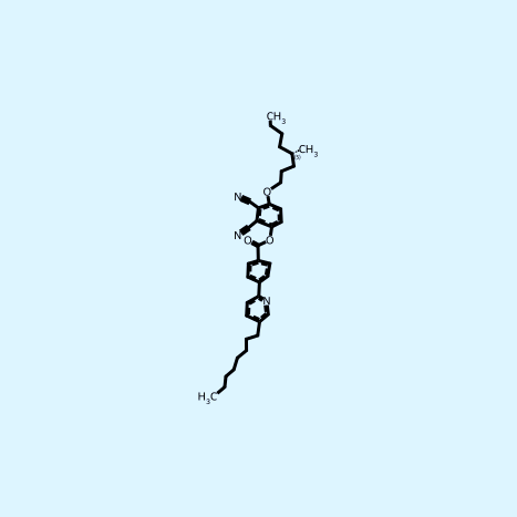 CCCCCCCCc1ccc(-c2ccc(C(=O)Oc3ccc(OCCC[C@@H](C)CCCC)c(C#N)c3C#N)cc2)nc1